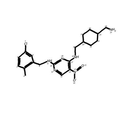 Cc1ccc(Cl)cc1CNc1ncc([N+](=O)[O-])c(NCC2CCC(CN)CC2)n1